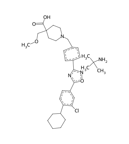 CC(C)(C)N.COCC1(C(=O)O)CCN(Cc2ccc(-c3noc(-c4ccc(C5CCCCC5)c(Cl)c4)n3)cc2)CC1